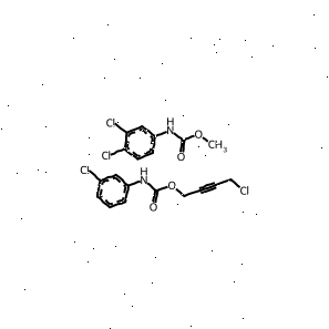 COC(=O)Nc1ccc(Cl)c(Cl)c1.O=C(Nc1cccc(Cl)c1)OCC#CCCl